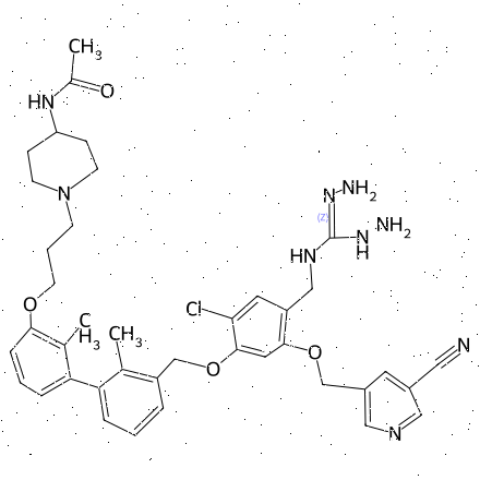 CC(=O)NC1CCN(CCCOc2cccc(-c3cccc(COc4cc(OCc5cncc(C#N)c5)c(CN/C(=N/N)NN)cc4Cl)c3C)c2C)CC1